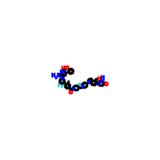 Cc1cc(C(=O)N2CCC(F)(CN3CCC(n4ccc5c(C)c(N6CCC(=O)NC6=O)ccc54)CC3)CC2)ccc1[C@@H]1CN(c2cc(-c3ccccc3O)nnc2N)CCC1(F)F